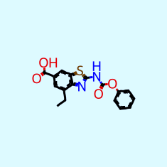 CCc1cc(C(=O)O)cc2sc(NC(=O)Oc3ccccc3)nc12